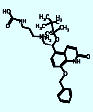 CC(C)(C)[Si](C)(C)O[C@@H](CNCCCNC(=O)O)c1ccc(OCc2ccccc2)c2[nH]c(=O)ccc12